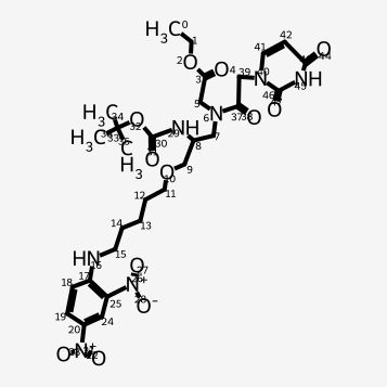 CCOC(=O)CN(CC(COCCCCCNc1ccc([N+](=O)[O-])cc1[N+](=O)[O-])NC(=O)OC(C)(C)C)C(=O)Cn1ccc(=O)[nH]c1=O